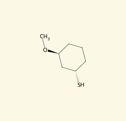 CO[C@H]1CCC[C@H](S)C1